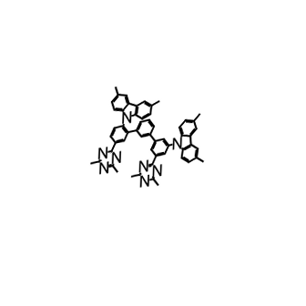 Cc1ccc2c(c1)c1cc(C)ccc1n2-c1cc(-c2cccc(-c3cc(-c4nc(C)nc(C)n4)ccc3-n3c4ccc(C)cc4c4cc(C)ccc43)c2)cc(-c2nc(C)nc(C)n2)c1